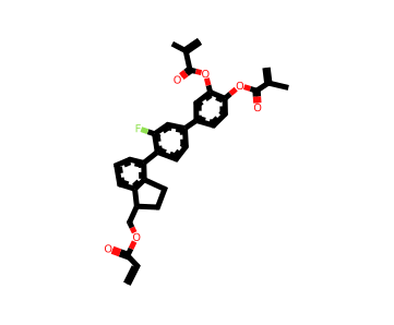 C=CC(=O)OCC1CCc2c(-c3ccc(-c4ccc(OC(=O)C(=C)C)c(OC(=O)C(=C)C)c4)cc3F)cccc21